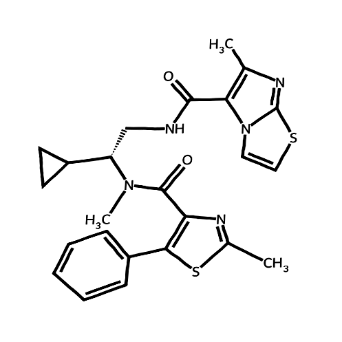 Cc1nc(C(=O)N(C)[C@@H](CNC(=O)c2c(C)nc3sccn23)C2CC2)c(-c2ccccc2)s1